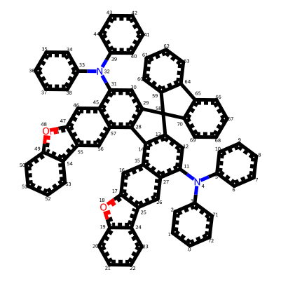 c1ccc(N(c2ccccc2)c2cc3c(c4cc5oc6ccccc6c5cc24)-c2c(cc(N(c4ccccc4)c4ccccc4)c4cc5oc6ccccc6c5cc24)C32c3ccccc3-c3ccccc32)cc1